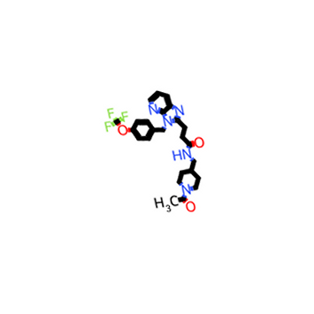 CC(=O)N1CCC(CNC(=O)CCc2nc3cccnc3n2Cc2ccc(OC(F)(F)F)cc2)CC1